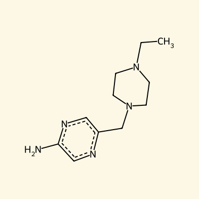 CCN1CCN(Cc2cnc(N)cn2)CC1